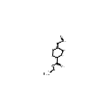 CCOC(=O)C1CCC(CC=O)CC1